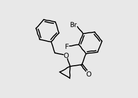 O=C(c1cccc(Br)c1F)C1(OCc2ccccc2)CC1